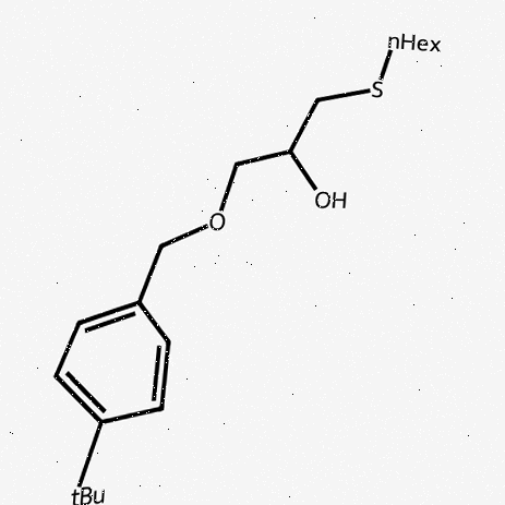 CCCCCCSCC(O)COCc1ccc(C(C)(C)C)cc1